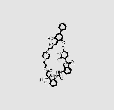 CC(C)(CC(=O)OCCN1CCN(CCN/C=C2/C(=O)CC(c3ccccc3)CC2O)CC1)c1ccccc1NC(=O)Nc1cccc2c1CN(C1CCC(=O)NC1=O)C2=O